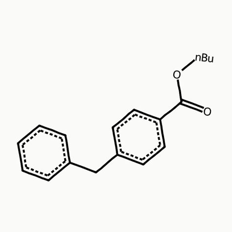 CCCCOC(=O)c1ccc(Cc2ccccc2)cc1